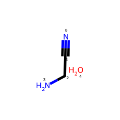 N#CCN.O